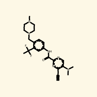 C#Cc1nc(C(=O)Nc2ccc(CN3CCN(C)CC3)c(C(C)(F)F)c2)ncc1N(C)C